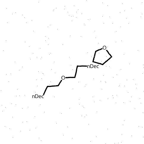 C1CCOC1.CCCCCCCCCCCCOCCCCCCCCCCCC